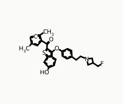 Cc1ccc(C)c(C(=O)c2sc3cc(O)ccc3c2Oc2ccc(CCN3CC(CF)C3)cc2)c1